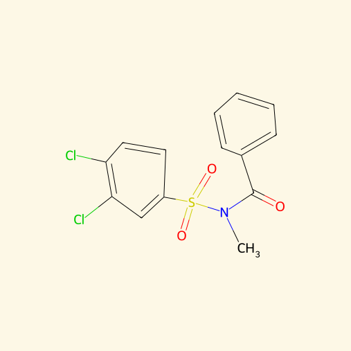 CN(C(=O)c1ccccc1)S(=O)(=O)c1ccc(Cl)c(Cl)c1